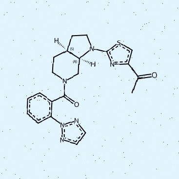 CC(=O)c1csc(N2CC[C@@H]3CCN(C(=O)c4ccccc4-n4nccn4)C[C@@H]32)n1